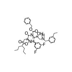 CCCC(CCC)S(=O)(=O)C[C@H](N)C(=O)N(C(=O)OCc1ccccc1)[C@@H](Cc1cc(F)cc(F)c1)[C@H](O)CNCc1cccc(CC)c1